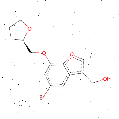 OCc1coc2c(OC[C@H]3CCCO3)cc(Br)cc12